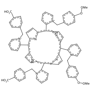 COOc1ccc(C[n+]2ccccc2-c2c3nc(c(-c4cccc[n+]4Cc4ccc(C(=O)O)cc4)c4ccc([nH]4)c(-c4cccc[n+]4Cc4ccc(C(=O)O)cc4)c4nc(c(-c5cccc[n+]5Cc5ccc(OOC)cc5)c5ccc2[nH]5)C=C4)C=C3)cc1